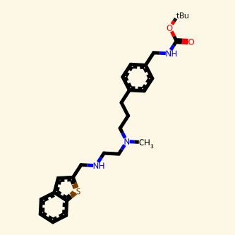 CN(CCCc1ccc(CNC(=O)OC(C)(C)C)cc1)CCNCc1cc2ccccc2s1